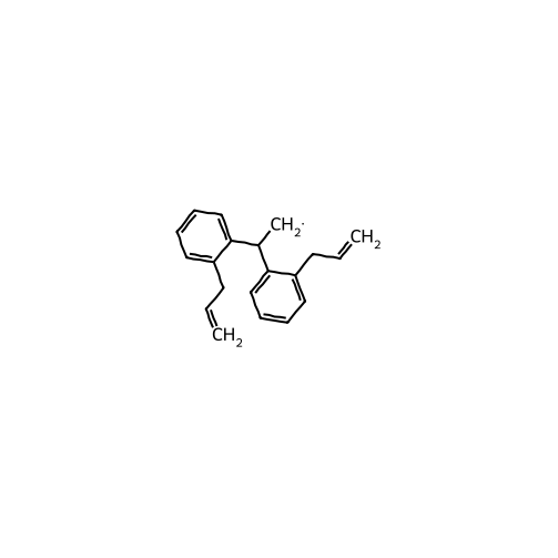 [CH2]C(c1ccccc1CC=C)c1ccccc1CC=C